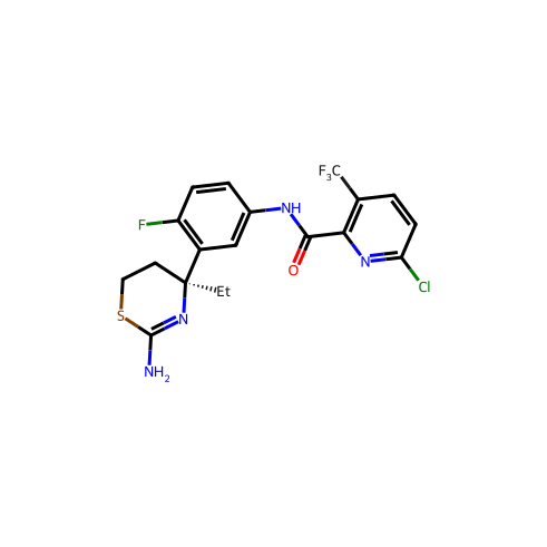 CC[C@@]1(c2cc(NC(=O)c3nc(Cl)ccc3C(F)(F)F)ccc2F)CCSC(N)=N1